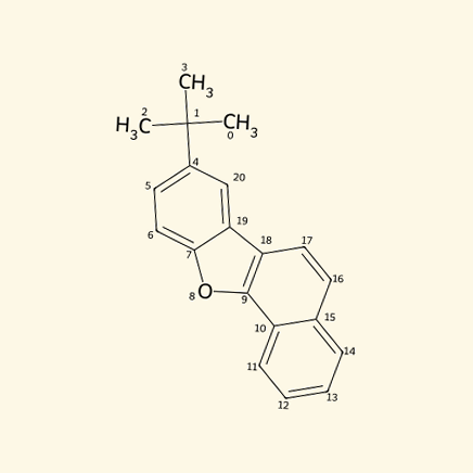 CC(C)(C)c1ccc2oc3c4ccccc4ccc3c2c1